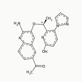 CC(=O)c1ccc2nc(N)c(O[C@@H](C)c3nc(O)ccc3-n3cccn3)cc2c1